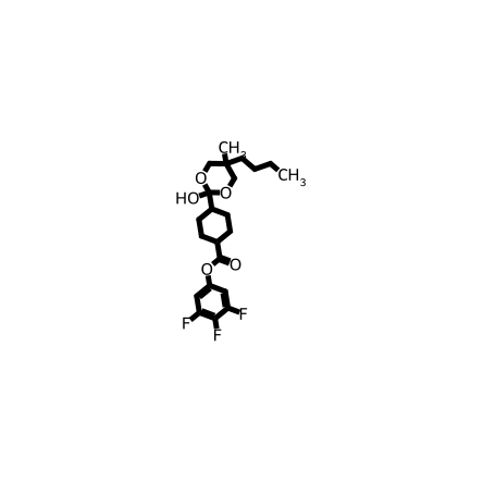 CCCCC1(C)COC(O)(C2CCC(C(=O)Oc3cc(F)c(F)c(F)c3)CC2)OC1